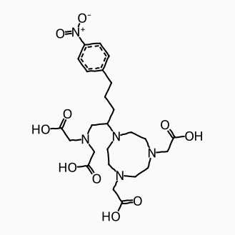 O=C(O)CN1CCN(CC(=O)O)CCN(C(CCCc2ccc([N+](=O)[O-])cc2)CN(CC(=O)O)CC(=O)O)CC1